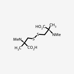 CN[C@@](C)(CSSC[C@](C)(NC)C(=O)O)C(=O)O